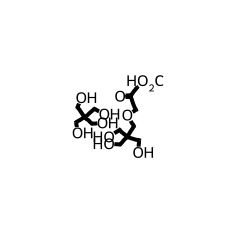 O=C(O)CC(=O)COCC(CO)(CO)CO.OCC(CO)(CO)CO